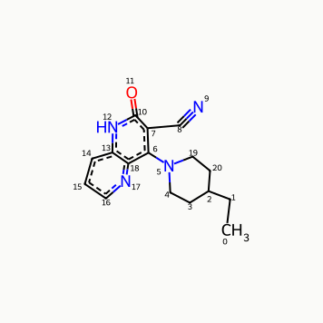 CCC1CCN(c2c(C#N)c(=O)[nH]c3cccnc23)CC1